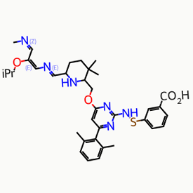 C\N=C/C(=C\N=C\C1CCC(C)(C)C(COc2cc(-c3c(C)cccc3C)nc(NSc3cccc(C(=O)O)c3)n2)N1)OC(C)C